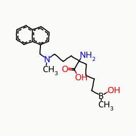 CB(O)CCCCC(N)(CCCN(C)Cc1cccc2ccccc12)C(=O)O